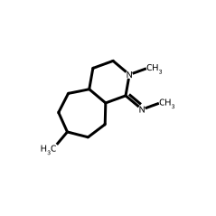 C/N=C1/C2CCC(C)CCC2CCN1C